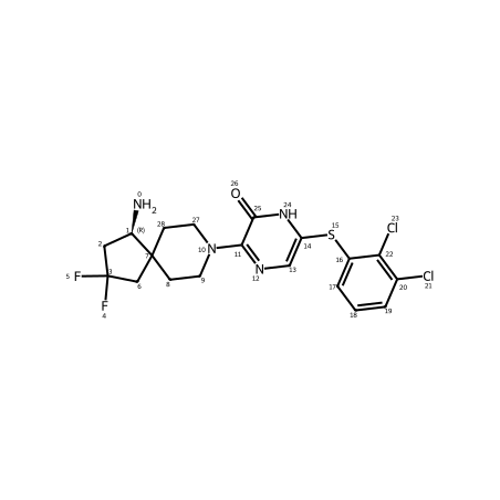 N[C@@H]1CC(F)(F)CC12CCN(c1ncc(Sc3cccc(Cl)c3Cl)[nH]c1=O)CC2